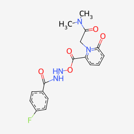 CN(C)C(=O)Cn1c(C(=O)ONNC(=O)c2ccc(F)cc2)cccc1=O